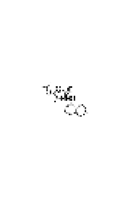 CC(C)OC(=O)[C@H](C)NP(=O)(Cl)Oc1cccc2ccccc12